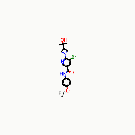 CC(C)(O)C1CN(c2ncc(C(=O)Nc3ccc(OC(F)(F)F)cc3)cc2Br)C1